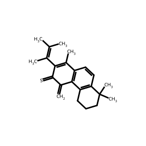 C=C1C(=S)C(C(C)=C(C)C)=C(C)c2ccc3c(c21)CCCC3(C)C